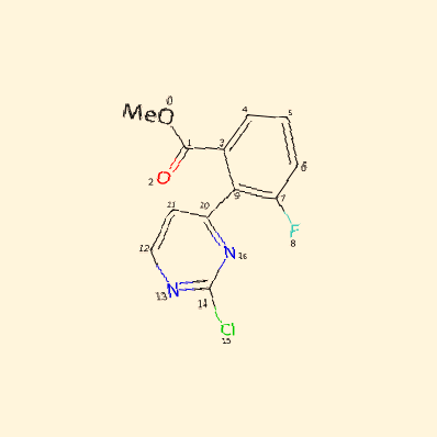 COC(=O)c1cccc(F)c1-c1ccnc(Cl)n1